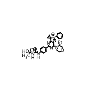 CC[C@H]1COCCN1c1cc(C2(S(=O)(=O)c3ccccc3)CC2)nc(-c2ccc(NC(=O)NC(C)(C)O)cc2)n1